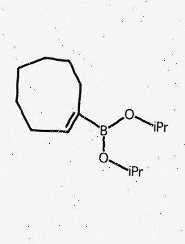 CC(C)OB(OC(C)C)C1=CCCCCCC1